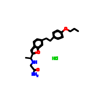 CCCOc1ccc(CCc2ccc3cc(C(C)NCC(N)=O)oc3c2)cc1.Cl